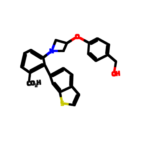 O=C(O)c1cccc(N2CC(Oc3ccc(CO)cc3)C2)c1-c1ccc2ccsc2c1